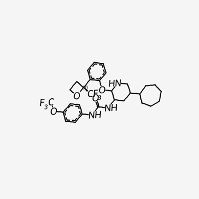 O=C(Nc1ccc(OC(F)(F)F)cc1)NC1CC(C2CCCCCC2)CNC1Oc1ccccc1[C@@]1(C(F)(F)F)CCO1